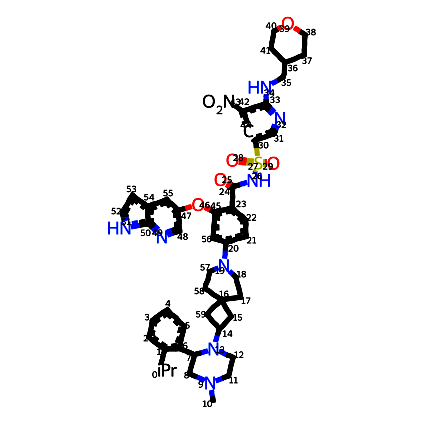 CC(C)c1ccccc1C1CN(C)CCN1C1CC2(CCN(c3ccc(C(=O)NS(=O)(=O)c4cnc(NCC5CCOCC5)c([N+](=O)[O-])c4)c(Oc4cnc5[nH]ccc5c4)c3)CC2)C1